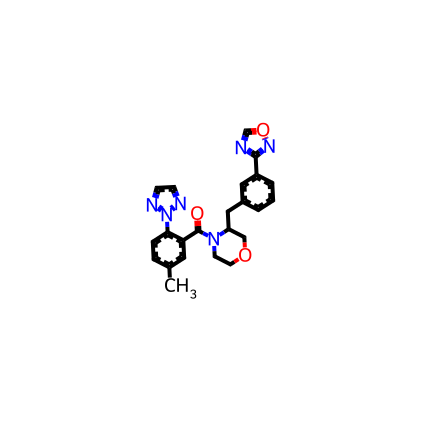 Cc1ccc(-n2nccn2)c(C(=O)N2CCOCC2Cc2cccc(-c3ncon3)c2)c1